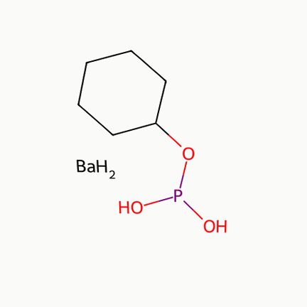 OP(O)OC1CCCCC1.[BaH2]